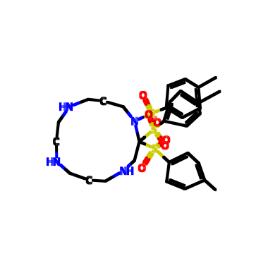 Cc1ccc(S(=O)(=O)N2CCCNCCNCCCNCC2(S(=O)(=O)c2ccc(C)cc2)S(=O)(=O)c2ccc(C)cc2)cc1